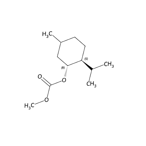 COC(=O)O[C@@H]1CC(C)CC[C@H]1C(C)C